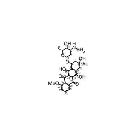 BN[C@H]1C[C@H](O[C@H]2C[C@](O)(C(C)=O)Cc3c(O)c4c(c(O)c32)C(=O)c2c(OC)cccc2C4=O)O[C@@H](C)[C@H]1O